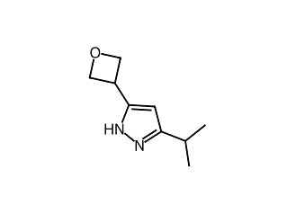 CC(C)c1cc(C2COC2)[nH]n1